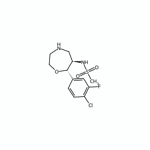 CS(=O)(=O)N[C@@H]1CNCCO[C@H]1c1ccc(Cl)c(F)c1